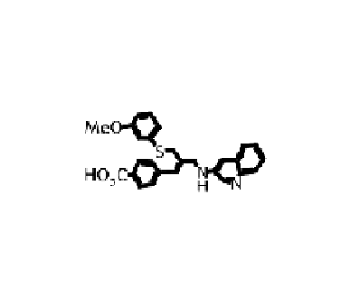 COc1cccc(SCC(=Cc2ccc(C(=O)O)cc2)CNc2cnc3ccccc3c2)c1